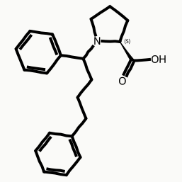 O=C(O)[C@@H]1CCCN1C(CCCc1ccccc1)c1ccccc1